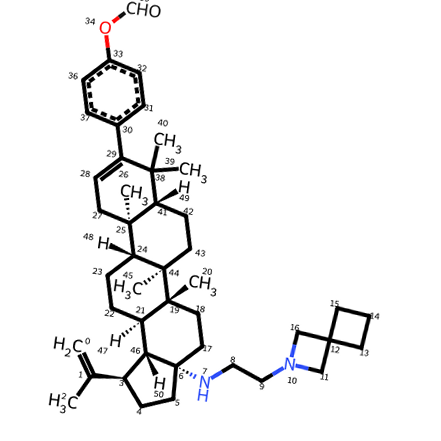 C=C(C)[C@@H]1CC[C@]2(NCCN3CC4(CCC4)C3)CC[C@]3(C)[C@H](CC[C@@H]4[C@@]5(C)CC=C(c6ccc(OC=O)cc6)C(C)(C)[C@@H]5CC[C@]43C)[C@@H]12